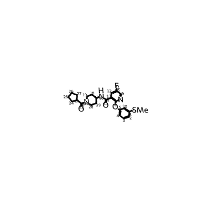 CSc1cccc(Oc2ncc(F)cc2C(=O)NC2CCN(C(=O)C3CCCC3)CC2)c1